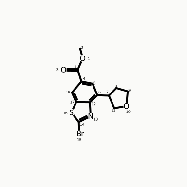 COC(=O)c1cc(C2CCOC2)c2nc(Br)sc2c1